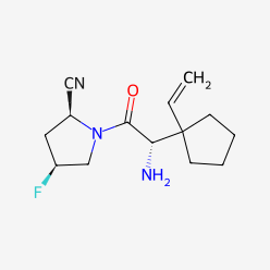 C=CC1([C@H](N)C(=O)N2C[C@@H](F)C[C@H]2C#N)CCCC1